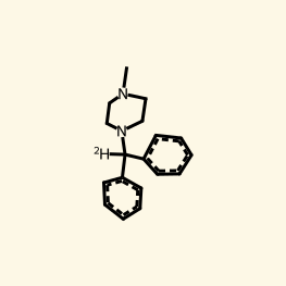 [2H]C(c1ccccc1)(c1ccccc1)N1CCN(C)CC1